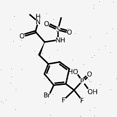 CNC(=O)[C@H](Cc1ccc(C(F)(F)P(=O)(O)O)c(Br)c1)NS(C)(=O)=O